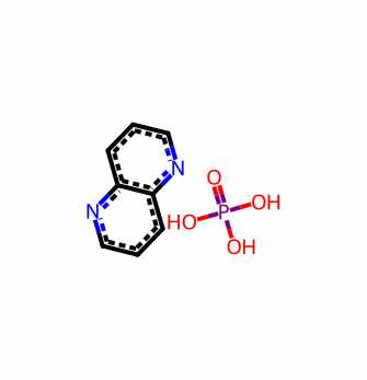 O=P(O)(O)O.c1cnc2cccnc2c1